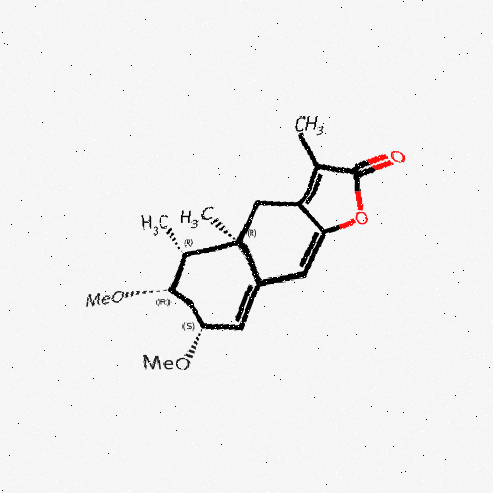 CO[C@H]1[C@@H](OC)C=C2C=C3OC(=O)C(C)=C3C[C@]2(C)[C@H]1C